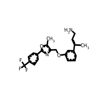 CC(=CCN)c1cccc(OCc2nc(-c3ccc(C(F)(F)F)cc3)oc2C)c1